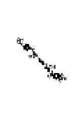 O=C(OCC(O)COCCCCOCC(O)COC(=O)c1ccc(S(=O)(=O)O)cc1)c1ccc(SOOO)cc1